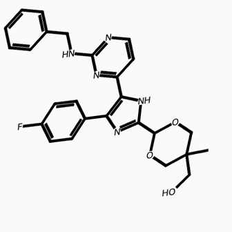 CC1(CO)COC(c2nc(-c3ccc(F)cc3)c(-c3ccnc(NCc4ccccc4)n3)[nH]2)OC1